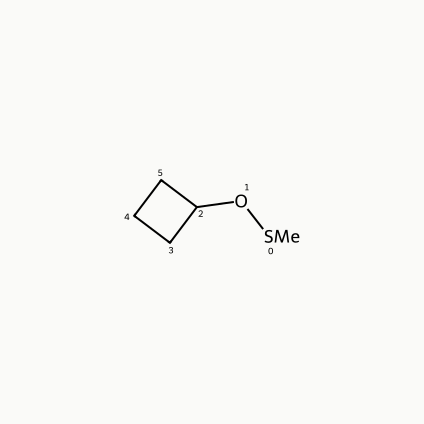 CSOC1CCC1